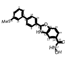 CSc1cccc(-c2ccc(C3Nc4cc(C(=O)NO)ccc4O3)cc2)c1